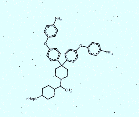 CCCCCCCC1CCC(C(C)C2CCC(c3ccc(Oc4ccc(N)cc4)cc3)(c3ccc(Oc4ccc(N)cc4)cc3)CC2)CC1